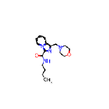 CCCCNC(=O)c1nc(CN2CCOCC2)c2ccccn12